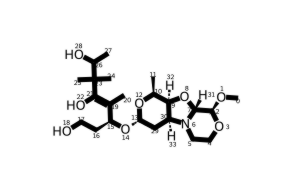 CO[C@H]1OCCN2[C@@H]1O[C@@H]1[C@H](C)O[C@@H](O[C@@H](CCO)/C(C)=C(\O)C(C)(C)C(C)O)C[C@@H]12